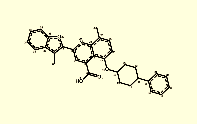 Cc1c(-c2cc(C(=O)O)c3c(OC4CCC(c5ccccc5)CC4)ccc(C)c3n2)oc2ccccc12